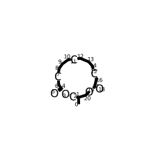 CC1COC(=O)CCCCCCCCCCCC(=O)OC1